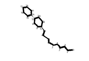 CCCCC/C=C\CCC[C@H]1CC[C@H](C2CCCCC2)CC1